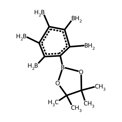 Bc1c(B)c(B)c(B2OC(C)(C)C(C)(C)O2)c(B)c1B